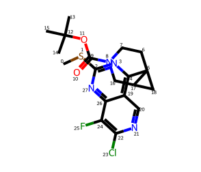 CSc1nc(C23CCN(C(=O)OC(C)(C)C)CC2C3)c2cnc(Cl)c(F)c2n1